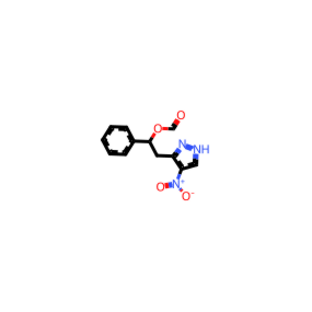 O=COC(Cc1n[nH]cc1[N+](=O)[O-])c1ccccc1